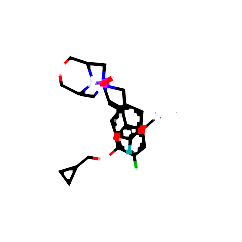 CC(=O)Nc1cc(Cl)c(OCC2CC2)cc1C=CC(=O)N1C2COCC1CN(Cc1ccc(F)cc1)C2